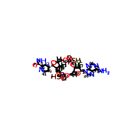 NC(=O)c1cc([C@@H]2O[C@@H]3COP(=O)(S)O[C@H]4[C@@H](F)[C@H](n5cnc6c(N)ncnc65)O[C@@H]4COP(=O)(S)O[C@@H]2[C@@H]3F)ccn1